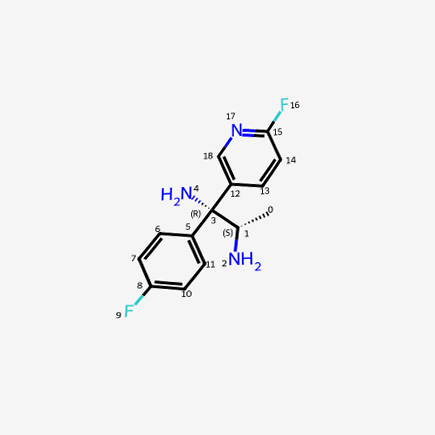 C[C@H](N)[C@@](N)(c1ccc(F)cc1)c1ccc(F)nc1